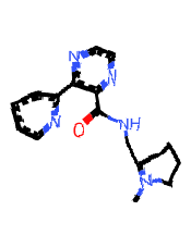 CN1CCCC1CNC(=O)c1nccnc1-c1ccccn1